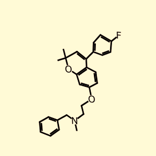 CN(CCOc1ccc2c(c1)OC(C)(C)C=C2c1ccc(F)cc1)Cc1ccccc1